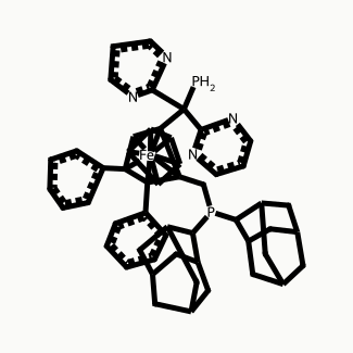 PC(c1ncccn1)(c1ncccn1)[C]12[CH]3[C]4(c5ccccc5)[C]5(c6ccccc6)[C]1(CP(C1C6CC7CC(C6)CC1C7)C1C6CC7CC(C6)CC1C7)[Fe]34521678[CH]2[CH]1[CH]6[CH]7[CH]28